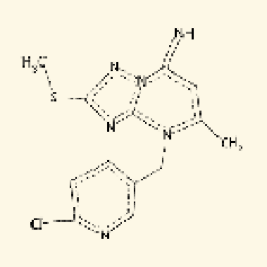 CSc1nc2n(Cc3ccc(Cl)nc3)c(C)cc(=N)n2n1